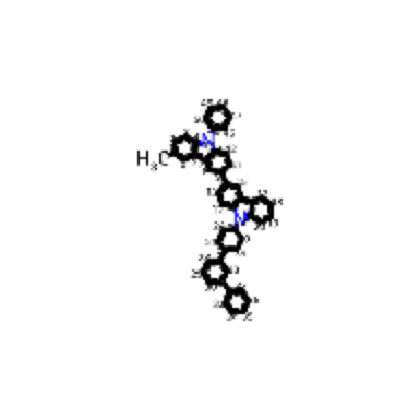 Cc1ccc2c(c1)c1cc(-c3ccc4c(c3)c3ccccc3n4C3C=CC(c4cccc(-c5ccccc5)c4)=CC3)ccc1n2-c1ccccc1